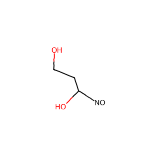 O=NC(O)CCO